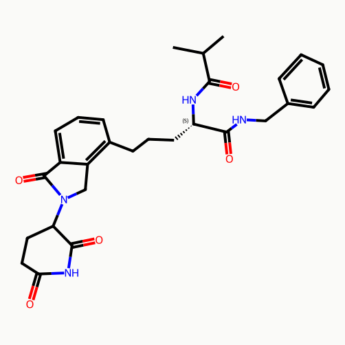 CC(C)C(=O)N[C@@H](CCCc1cccc2c1CN(C1CCC(=O)NC1=O)C2=O)C(=O)NCc1ccccc1